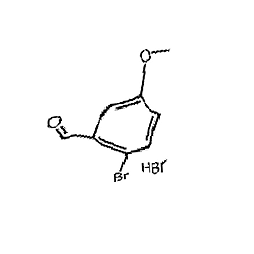 Br.COc1ccc(Br)c(C=O)c1